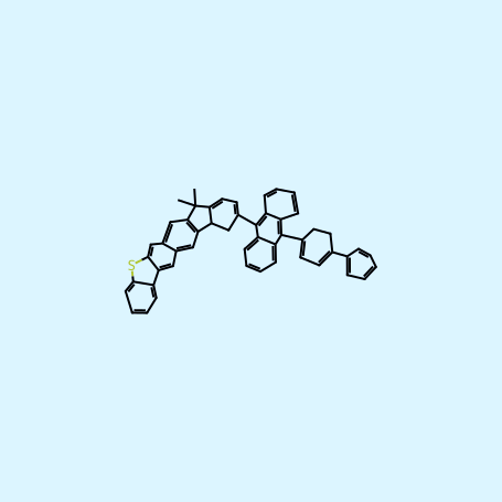 CC1(C)C2=CC=C(c3c4ccccc4c(C4=CC=C(c5ccccc5)CC4)c4ccccc34)CC2c2cc3cc4c(cc3cc21)sc1ccccc14